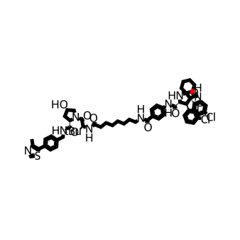 Cc1ncsc1-c1ccc(CNC(=O)[C@@H]2C[C@@H](O)CN2C(=O)[C@@H](NC(=O)CCCCCCCNC(=O)c2ccc(NC(=O)[C@@H]3NC4(CCCCC4)[C@@]4(C(=O)Nc5cc(Cl)ccc54)[C@H]3c3cccc(Cl)c3F)cc2)C(C)(C)C)cc1